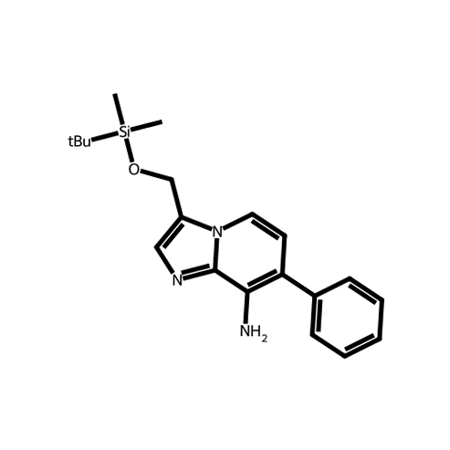 CC(C)(C)[Si](C)(C)OCc1cnc2c(N)c(-c3ccccc3)ccn12